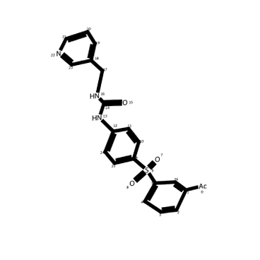 CC(=O)c1cccc(S(=O)(=O)c2ccc(NC(=O)NCc3cccnc3)cc2)c1